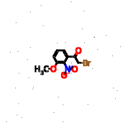 COc1cccc(C(=O)CBr)c1[N+](=O)[O-]